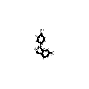 Fc1ccc(-n2ncc3ccc(Cl)cc32)cc1